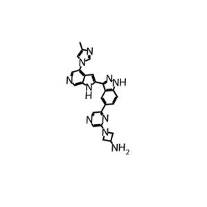 Cc1cn(-c2cncc3[nH]c(-c4n[nH]c5ccc(-c6cncc(N7CC(N)C7)n6)cc45)cc23)cn1